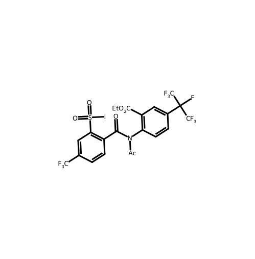 CCOC(=O)c1cc(C(F)(C(F)(F)F)C(F)(F)F)ccc1N(C(C)=O)C(=O)c1ccc(C(F)(F)F)cc1S(=O)(=O)I